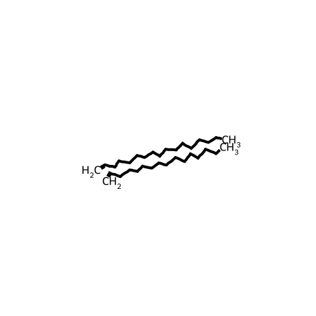 C=CCCCCCCCCCCCCCC.C=CCCCCCCCCCCCCCCC